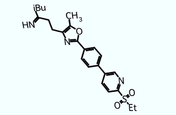 CCC(C)C(=N)CCc1nc(-c2ccc(-c3ccc(S(=O)(=O)CC)nc3)cc2)oc1C